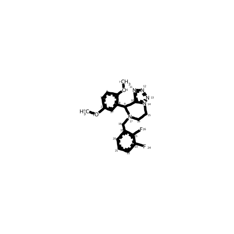 COc1ccc(OC)c(C2c3nnnn3CCN2Cc2cccc(F)c2F)c1